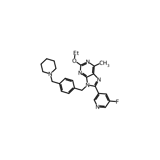 CCOc1nc(C)c2nc(-c3cncc(F)c3)n(Cc3ccc(CN4CCCCC4)cc3)c2n1